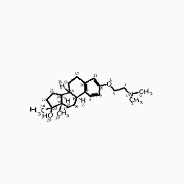 CN(C)CCOc1ccc2c(c1)CC[C@@H]1[C@@H]2CC[C@@]2(C)[C@H]1CC[C@@]2(C)O